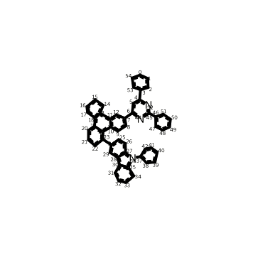 c1ccc(-c2cc(-c3ccc4c(c3)c3ccccc3c3cccc(-c5ccc6c(c5)c5ccccc5n6-c5ccccc5)c34)nc(-c3ccccc3)n2)cc1